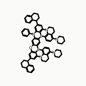 c1ccc(N2c3cc4c(cc3B3c5ccc(N6CCCCC6)c6c5N(CCC6)c5cc(C6CCCc7ccccc76)cc2c53)B2c3ccc(N5CCCCC5)c5c3N(CCC5)c3cc(C5CCCc6ccccc65)cc(c32)O4)cc1